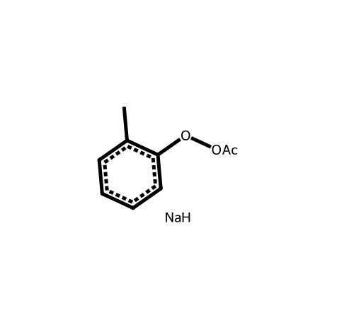 CC(=O)OOc1ccccc1C.[NaH]